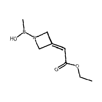 CCOC(=O)C=C1CN(B(C)O)C1